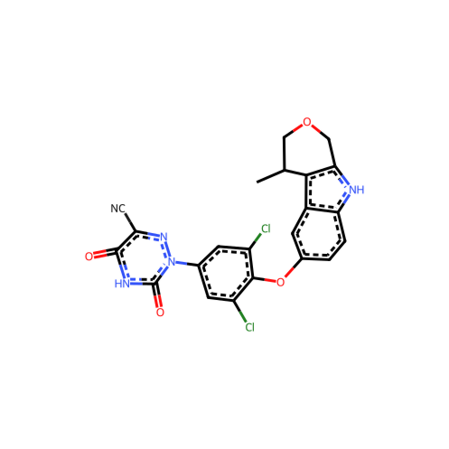 CC1COCc2[nH]c3ccc(Oc4c(Cl)cc(-n5nc(C#N)c(=O)[nH]c5=O)cc4Cl)cc3c21